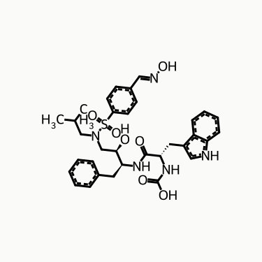 CC(C)CN(C[C@@H](O)[C@H](Cc1ccccc1)NC(=O)[C@H](Cc1c[nH]c2ccccc12)NC(=O)O)S(=O)(=O)c1ccc(C=NO)cc1